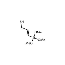 CO[Si](C=CCS)(OC)OC